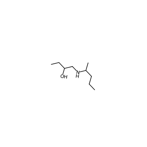 CCCC(C)NCC(O)CC